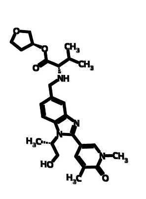 Cc1cc(-c2nc3cc(CN[C@H](C(=O)O[C@H]4CCOC4)C(C)C)ccc3n2[C@@H](C)CO)cn(C)c1=O